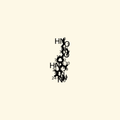 CNC(=O)CN1CCOC(c2ccc3[nH]c(-c4cn5ncnc5c(C)c4C)c(C(C)C)c3c2)C1